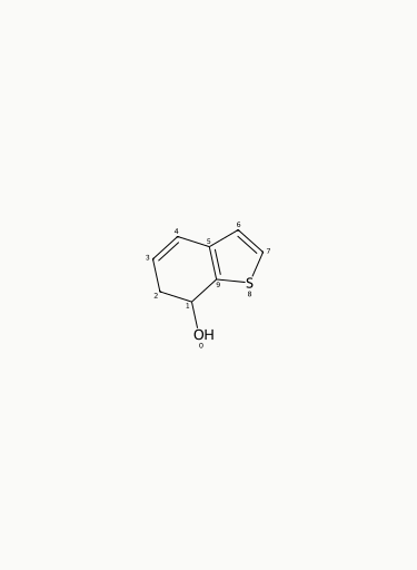 OC1CC=Cc2ccsc21